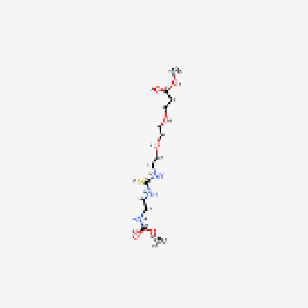 CC(C)(C)OC(=O)CCOCCOCCNC(=S)NCCNC(=O)OC(C)(C)C